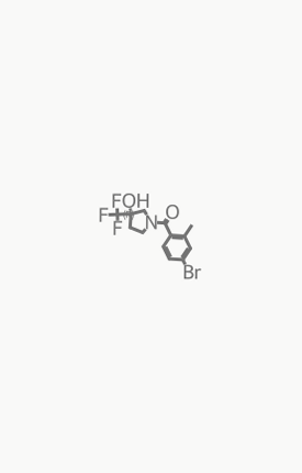 Cc1cc(Br)ccc1C(=O)N1CC[C@](O)(C(F)(F)F)C1